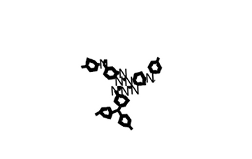 Cc1ccc(C(c2ccc(C)cc2)c2ccc3c(c2)nc2n3c3nc4cc(N(C)c5ccc(C)cc5)ccc4n3c3nc4cc(N(C)c5ccc(C)cc5)ccc4n23)cc1